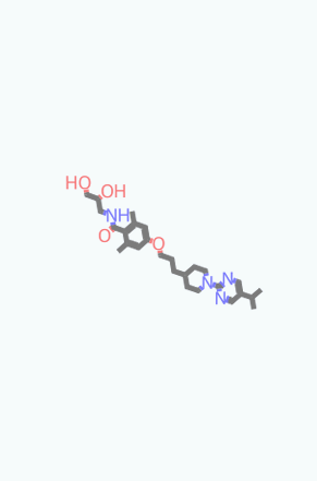 Cc1cc(OCCCC2CCN(c3ncc(C(C)C)cn3)CC2)cc(C)c1C(=O)NCC(O)CO